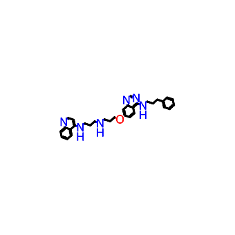 c1ccc(CCCNc2ncnc3cc(OCCCNCCCNc4ccnc5ccccc45)ccc23)cc1